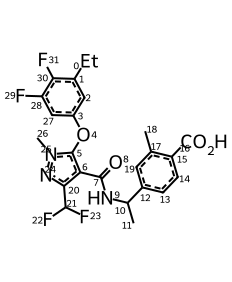 CCc1cc(Oc2c(C(=O)NC(C)c3ccc(C(=O)O)c(C)c3)c(C(F)F)nn2C)cc(F)c1F